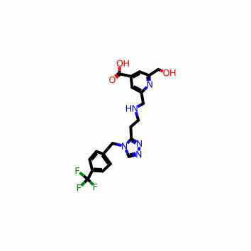 O=C(O)c1cc(CO)nc(CNCCc2nncn2Cc2ccc(C(F)(F)F)cc2)c1